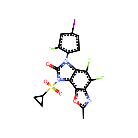 Cc1nc2c(F)c(F)c3c(c2o1)n(S(=O)(=O)C1CC1)c(=O)n3-c1ccc(I)cc1F